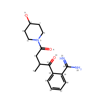 CC(CC(=O)N1CCC([O])CC1)C(=O)c1ccccc1C(=N)N